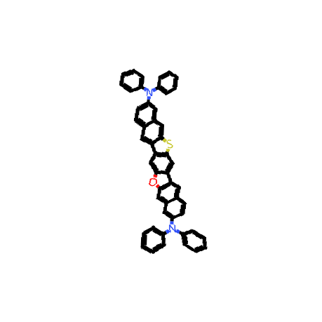 c1ccc(N(c2ccccc2)c2ccc3cc4c(cc3c2)oc2cc3c(cc24)sc2cc4cc(N(c5ccccc5)c5ccccc5)ccc4cc23)cc1